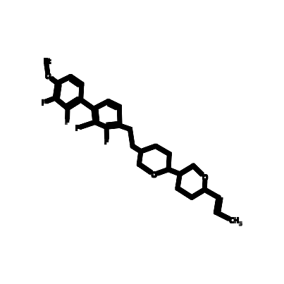 C/C=C/C1CCC(C2CCC(CCc3ccc(-c4ccc(OCC)c(F)c4F)c(F)c3F)CO2)CO1